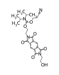 CC(C)N(C(C)C)P(OCCC#N)OCCn1c(=O)c2cc3c(=O)n(CCO)c(=O)c3cc2c1=O